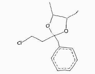 CC1OC(CCCl)(c2ccccc2)OC1C